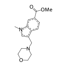 COC(=O)c1ccc2c(CN3CCOCC3)cn(C)c2c1